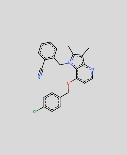 Cc1c(C)n(Cc2ccccc2C#N)c2c(OCc3ccc(Cl)cc3)ccnc12